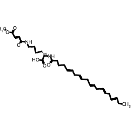 CCC=CCC=CCC=CCC=CCC=CCCCC(=O)N[C@@H](CCCCNC(=O)C=CC(=O)OC)C(=O)O